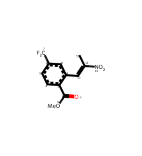 COC(=O)c1ccc(C(F)(F)F)cc1C=C(C)[N+](=O)[O-]